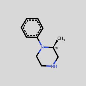 C[C@H]1CNCCN1c1ccccc1